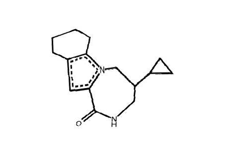 O=C1NCC(C2CC2)Cn2c1cc1c2CCCC1